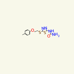 Cc1ccc(OCCSc2nnc(NC(N)=O)s2)cc1